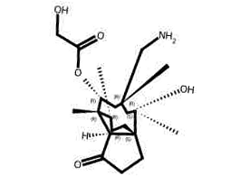 C[C@@H]1CC[C@@]23CCC(=O)[C@H]2[C@]1(C)[C@H](OC(=O)CO)C[C@](C)(CN)[C@@H](O)[C@@H]3C